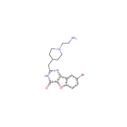 NCCN1CCC(Cc2nc3c(oc4ccc(Br)cc43)c(=O)[nH]2)CC1